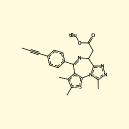 CC#Cc1ccc(C2=NC(CC(=O)OC(C)(C)C)c3nnc(C)n3-c3sc(C)c(C)c32)cc1